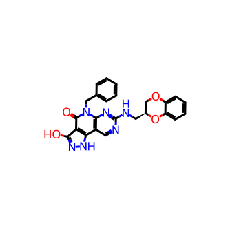 O=c1c2c(O)n[nH]c2c2cnc(NC[C@H]3COc4ccccc4O3)nc2n1Cc1ccccc1